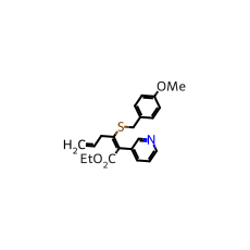 C=CCC(SCc1ccc(OC)cc1)=C(C(=O)OCC)c1cccnc1